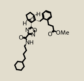 COC(=O)CCc1ccccc1C[C@@H]1[C@H](c2nc(C(=O)NCCCCC3CCCCC3)no2)[C@H]2CC[C@@H]1O2